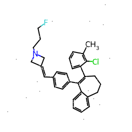 Cc1cccc(C2=C(c3ccc(C=C4CN(CCCF)C4)cc3)c3ccccc3CCC2)c1Cl